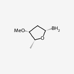 B[C@H]1C[C@@H](OC)[C@@H](C)O1